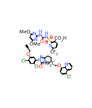 C#CCOc1cc(-n2nc3n(c2=O)CCCC3)c(Cl)cc1Cl.COc1cc(OC)nc(NC(=O)NS(=O)(=O)c2nc(C(F)(F)F)ccc2C(=O)O)n1.O=C(O)COc1ccc(Cl)c2cccnc12